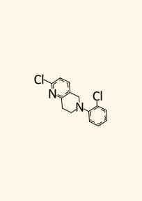 Clc1ccc2c(n1)CCN(c1ccccc1Cl)C2